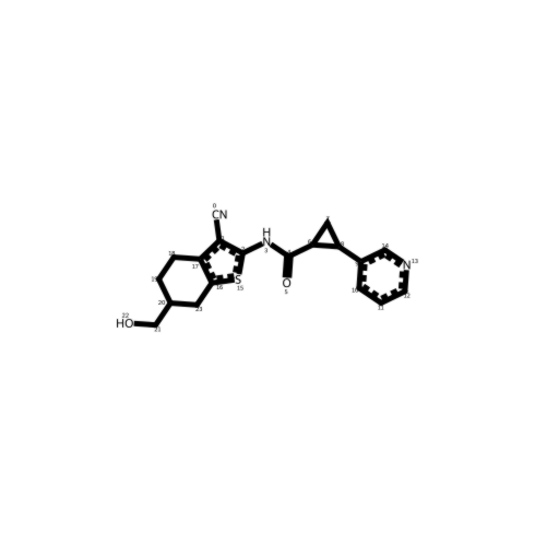 N#Cc1c(NC(=O)C2CC2c2cccnc2)sc2c1CCC(CO)C2